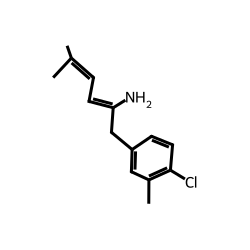 CC(C)=C/C=C(\N)Cc1ccc(Cl)c(C)c1